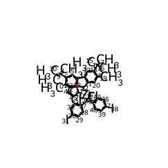 Cc1cc2c(cc1C(C)(C)C)-c1cc(C(C)(C)C)c(C)cc1[CH]2[Zr]([Cl])([Cl])(=[C](c1ccc(I)cc1)c1ccc(I)cc1)[CH]1C=CC=C1